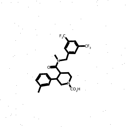 Cc1cccc(C2CN(C(=O)O)CCC2C(=O)N(C)Cc2cc(C(F)(F)F)cc(C(F)(F)F)c2)c1